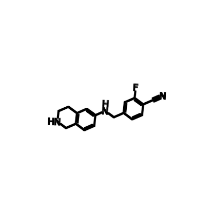 N#Cc1ccc(CNc2ccc3c(c2)CCNC3)cc1F